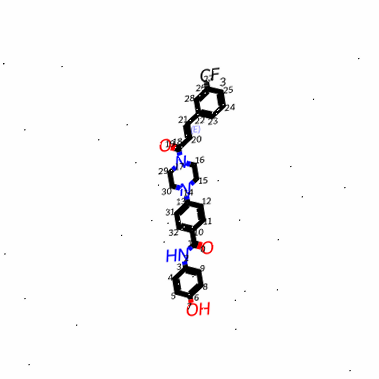 O=C(Nc1ccc(O)cc1)c1ccc(N2CCN(C(=O)/C=C/c3cccc(C(F)(F)F)c3)CC2)cc1